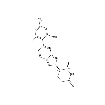 Cc1cc(C(F)(F)F)cc(O)c1-c1ccc2cn([C@@H]3CCC(=O)N[C@@H]3C)nc2n1